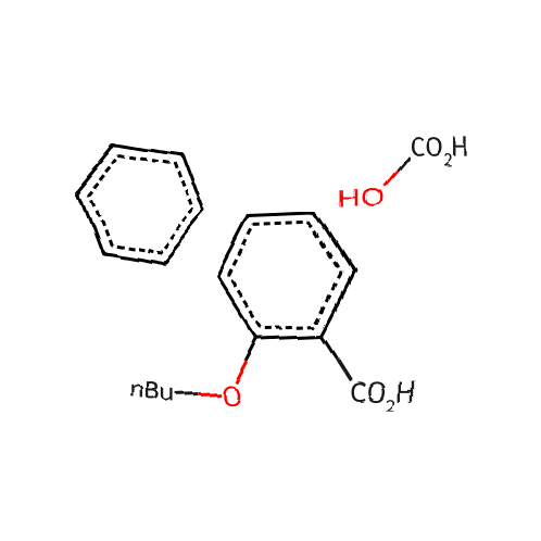 CCCCOc1ccccc1C(=O)O.O=C(O)O.c1ccccc1